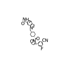 N#Cc1cc(F)cc([C@@H]2CCON2C(=O)[C@H]2CC[C@H](Cn3ccc4ccc(C(N)=O)cc43)CC2)c1